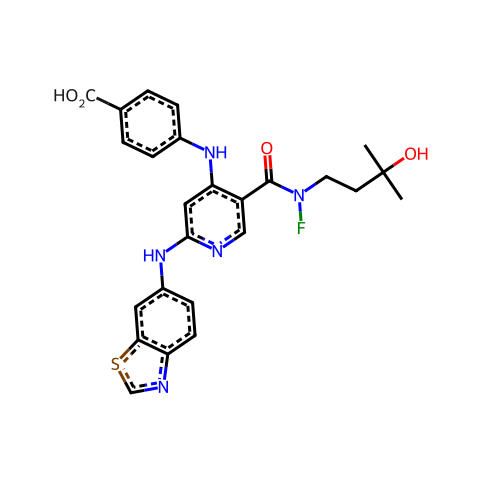 CC(C)(O)CCN(F)C(=O)c1cnc(Nc2ccc3ncsc3c2)cc1Nc1ccc(C(=O)O)cc1